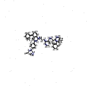 C=C/C=C(\C=N/C)c1ccc(/C(N)=C/C(=N\C/C=C(\C=C/C)C(C)/C=C\CC(/C=C\CC)=C(/CC)C2=C(CC)C=CCC2C)c2cccc(-c3ccccc3)c2)cc1